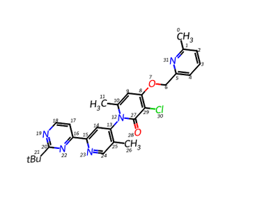 Cc1cccc(COc2cc(C)n(-c3cc(-c4ccnc(C(C)(C)C)n4)ncc3C)c(=O)c2Cl)n1